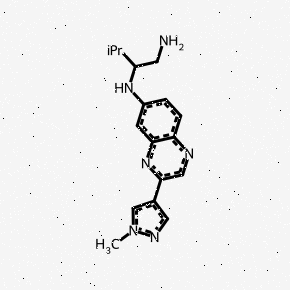 CC(C)C(CN)Nc1ccc2ncc(-c3cnn(C)c3)nc2c1